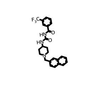 O=C(NC(=O)c1cccc(C(F)(F)F)c1)NC1CCN(Cc2ccc3ccccc3c2)CC1